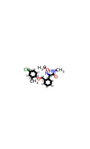 CNC(=O)C(=NOC)c1ccccc1COc1ccc(Cl)cc1C